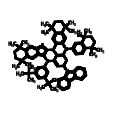 CC(C)(C)c1cc(N2C3=CC(n4c5ccccc5c5ccccc54)CC4=C3B(c3cc5c(cc3N4c3ccc4c(c3)C(C)(C)CCC4(C)C)C(C)(C)CCC5(C)C)c3sc4cc5c(cc4c32)C(C)(C)CCC5(C)C)cc(C(C)(C)C)c1